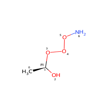 C[C@H](O)OOON